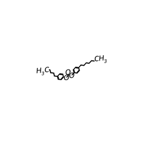 CCCCCCCc1ccc(OC(=O)Oc2ccc(CCCCC)cc2)cc1